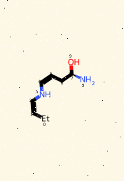 CC/C=C\N/C=C\C[C@H](N)O